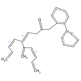 C=C/C=C\C(=C)C(/C=C\C=C)=C\CC(=O)Cc1ccccc1-c1ccccc1